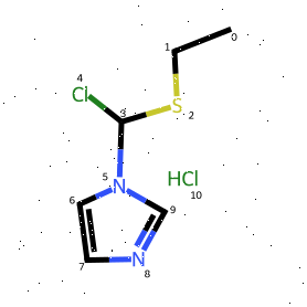 CCSC(Cl)n1ccnc1.Cl